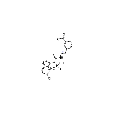 O=C(N/C=C/c1cccc([N+](=O)[O-])c1)C(c1csc2ccc(Cl)cc12)P(=O)(O)O